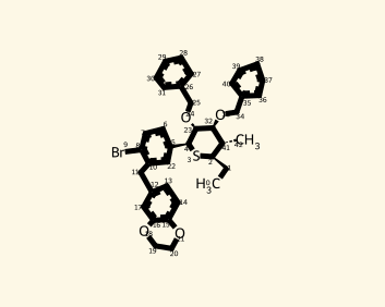 CC[C@H]1S[C@@H](c2ccc(Br)c(Cc3ccc4c(c3)OCCO4)c2)[C@H](OCc2ccccc2)[C@@H](OCc2ccccc2)[C@@H]1C